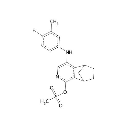 Cc1cc(Nc2cnc(OS(C)(=O)=O)c3c2C2CCC3C2)ccc1F